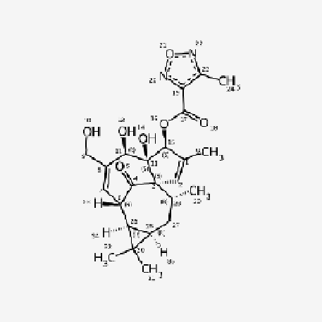 CC1=C[C@]23C(=O)[C@@H](C=C(CO)[C@@H](O)[C@]2(O)[C@H]1OC(=O)c1nonc1C)[C@H]1[C@@H](C[C@H]3C)C1(C)C